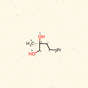 CC(C)CC[C@](C)(O)CO